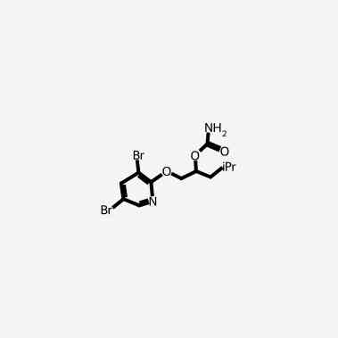 CC(C)CC(COc1ncc(Br)cc1Br)OC(N)=O